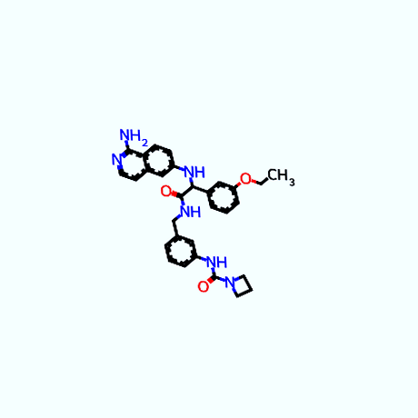 CCOc1cccc(C(Nc2ccc3c(N)nccc3c2)C(=O)NCc2cccc(NC(=O)N3CCC3)c2)c1